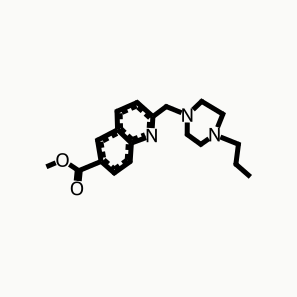 CCCN1CCN(Cc2ccc3cc(C(=O)OC)ccc3n2)CC1